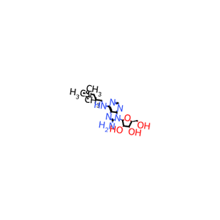 C[Si](C)(C)CCCNc1ncnc2c1nc(N)n2[C@H]1O[C@@H](CO)[C@H](O)[C@@H]1O